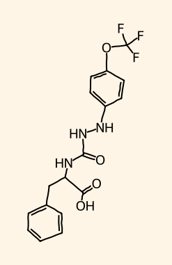 O=C(NNc1ccc(OC(F)(F)F)cc1)NC(Cc1ccccc1)C(=O)O